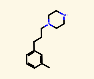 Cc1cccc(CCCN2CCNCC2)c1